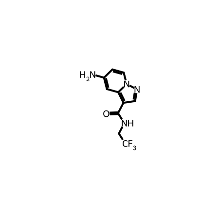 Nc1ccn2ncc(C(=O)NCC(F)(F)F)c2c1